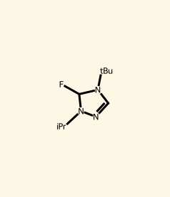 CC(C)N1N=CN(C(C)(C)C)C1F